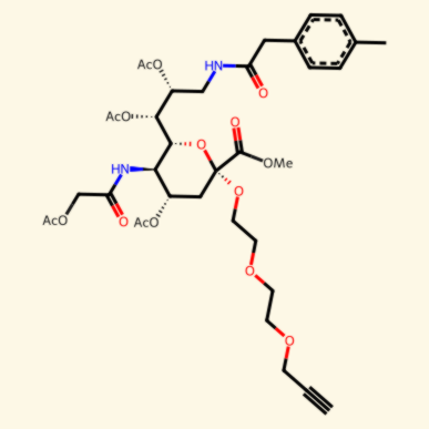 C#CCOCCOCCO[C@]1(C(=O)OC)C[C@H](OC(C)=O)[C@@H](NC(=O)COC(C)=O)[C@H]([C@H](OC(C)=O)[C@@H](CNC(=O)Cc2ccc(C)cc2)OC(C)=O)O1